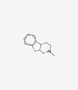 CN1CCC2c3ccccc3CC2C1